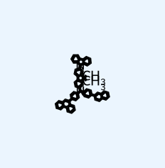 CC1(C)c2cc(N(c3ccc(-c4ccc5ccccc5c4)cc3)c3ccc(-c4cc5ccccc5c5ccccc45)cc3)ccc2-c2ccc(-n3c4ccccc4c4ccccc43)cc21